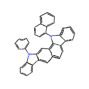 c1ccc(-n2c3ccccc3c3cc4ccc5c6ccccc6n(-c6cccc7ccccc67)c5c4cc32)cc1